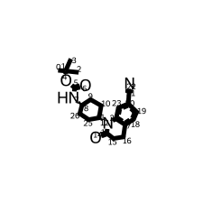 CC(C)(C)OC(=O)N[C@H]1CC[C@H](N2C(=O)CCc3ccc(C#N)cc32)CC1